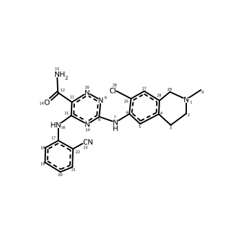 CN1CCc2cc(Nc3nnc(C(N)=O)c(Nc4ccccc4C#N)n3)c(Cl)cc2C1